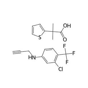 C#CCNc1ccc(C(F)(F)F)c(Cl)c1.CC(C)(C(=O)O)c1cccs1